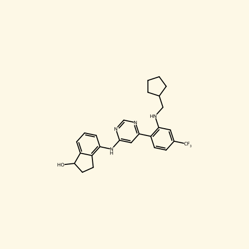 OC1CCc2c(Nc3cc(-c4ccc(C(F)(F)F)cc4NCC4CCCC4)ncn3)cccc21